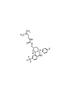 CN(C)CCNC(=O)OC[C@H]1CC[C@@H]2[C@H](O1)c1cc(C(F)(F)F)ccc1N[C@H]2c1ccc(F)cc1